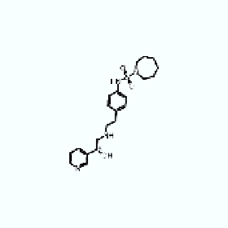 O=S(=O)(Nc1ccc(CCNC[C@@H](O)c2cccnc2)cc1)N1CCCCCC1